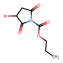 CCCOC(=O)N1C(=O)CC(Br)C1=O